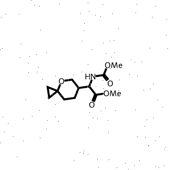 COC(=O)NC(C(=O)OC)C1CCC2(CC2)OC1